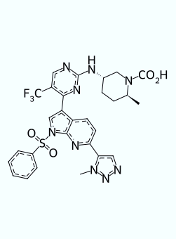 C[C@H]1CC[C@H](Nc2ncc(C(F)(F)F)c(-c3cn(S(=O)(=O)c4ccccc4)c4nc(-c5cnnn5C)ccc34)n2)CN1C(=O)O